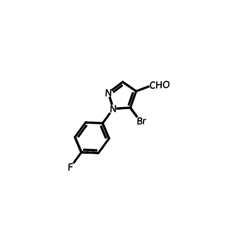 O=Cc1cnn(-c2ccc(F)cc2)c1Br